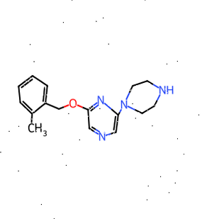 Cc1ccccc1COc1cncc(N2CCNCC2)n1